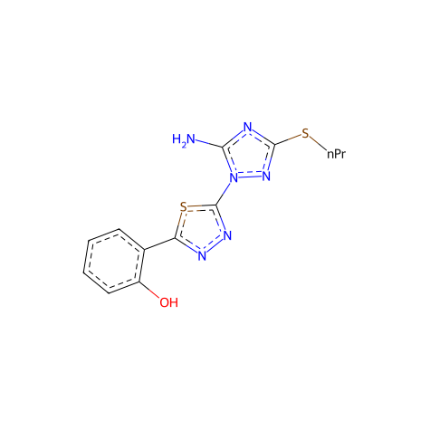 CCCSc1nc(N)n(-c2nnc(-c3ccccc3O)s2)n1